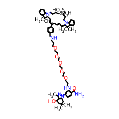 Cc1nn(-c2ccc(C(N)=O)c(NCCCOCCOCCOCCOCCOCCCNCc3ccc(C(/C=C/C4=[N+](CCCCS(=O)(=O)O)c5ccccc5C4(C)C)C/C=C/C=C4\N(CCCCS(=O)(=O)O)c5ccccc5C4(C)C)cc3)c2)c2c1C(O)CC(C)(C)C2